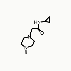 CN1CCN(CC(=O)NC2CC2)CC1